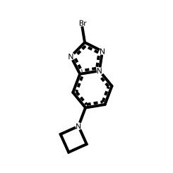 Brc1nc2cc(N3CCC3)ccn2n1